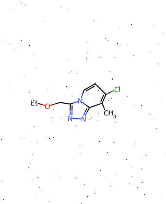 CCOCc1nnc2c(C)c(Cl)ccn12